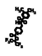 Cc1ccc(S(=O)(=O)NCC2CCN(C(=O)OC(C(F)(F)F)C(F)(F)F)CC2)cc1C